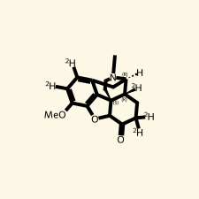 [2H]c1c([2H])c(OC)c2c3c1C[C@H]1N(C)CC[C@@]34C(O2)C(=O)C([2H])([2H])C[C@@]14[2H]